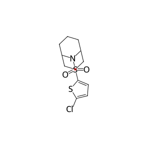 O=S(=O)(c1ccc(Cl)s1)N1C2CCCC1CCC2